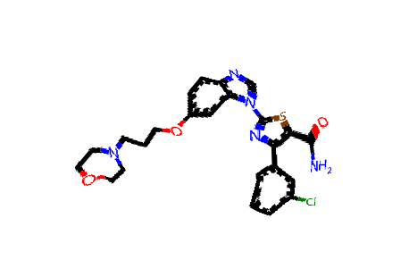 NC(=O)c1sc(-n2cnc3ccc(OCCCN4CCOCC4)cc32)nc1-c1cccc(Cl)c1